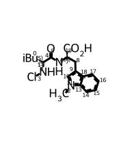 CC[C@H](C)[C@H](NCl)C(=O)N[C@H](Cc1cn(C)c2ccccc12)C(=O)O